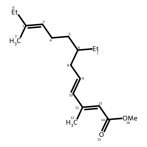 CCC(C)=CCCC(CC)CC=CC(C)=CC(=O)OC